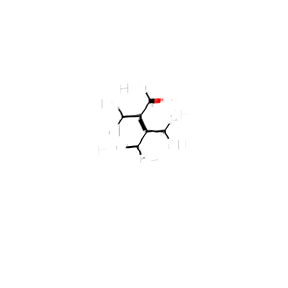 CC(C)C([C](=O)[SnH])=C(C(C)C)C(C)C